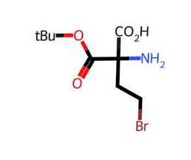 CC(C)(C)OC(=O)C(N)(CCBr)C(=O)O